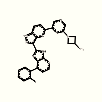 NC1CN(c2cncc(-c3ccc4[nH]nc(-c5nc6c(-c7ccccc7F)ccnc6[nH]5)c4n3)n2)C1